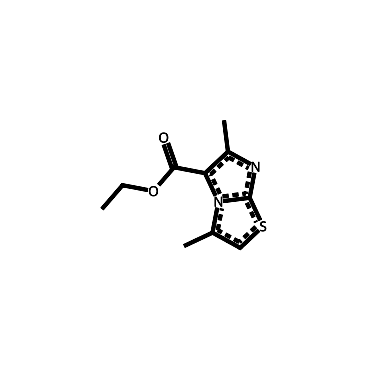 CCOC(=O)c1c(C)nc2scc(C)n12